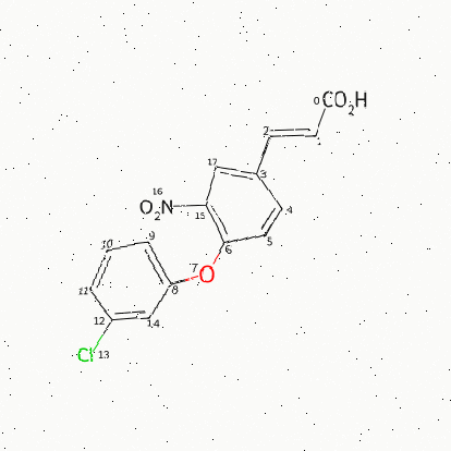 O=C(O)C=Cc1ccc(Oc2cccc(Cl)c2)c([N+](=O)[O-])c1